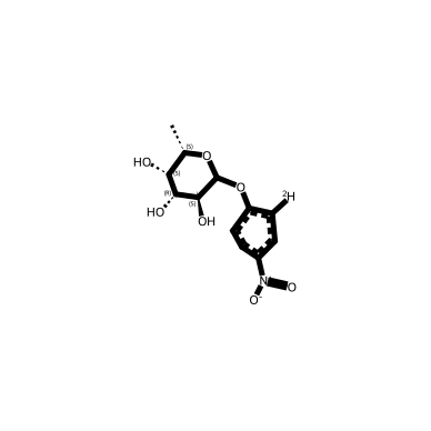 [2H]c1cc([N+](=O)[O-])ccc1OC1O[C@@H](C)[C@@H](O)[C@@H](O)[C@@H]1O